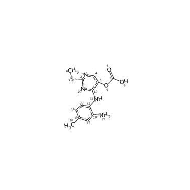 CSc1ncc(OC(=O)O)c(Nc2ccc(C)cc2N)n1